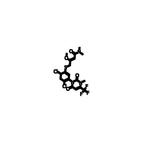 COC(=CC(=O)N(C)C)CSC1=CC(n2c(=O)cc(C(F)(F)F)n(C)c2=O)=C(Cl)CC1Cl